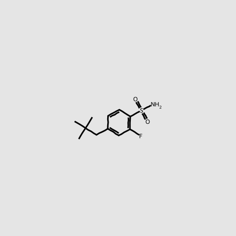 CC(C)(C)Cc1ccc(S(N)(=O)=O)c(F)c1